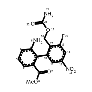 COC(=O)c1cccc(N)c1-c1cc([N+](=O)[O-])cc(F)c1COC(N)=O